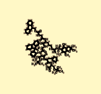 Cc1c(C)c(S(=O)(=O)NC(=N)NCCC[C@H](NC(=O)CNC(=O)OCC2c3ccccc3-c3ccccc32)C(=O)N[C@@H](CSC(c2ccccc2)(c2ccccc2)c2ccccc2)C(=O)N[C@H](C(=O)N[C@@H](Cc2ccccc2)C(=O)N[C@@H](COC(C)(C)C)C(=O)O)[C@@H](C)OC(C)(C)C)c(C)c2c1OC(C)(C)C2